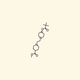 COC(=O)C1CCN(CCN2CCN(OC(=O)C(C)(C)C)CC2)CC1